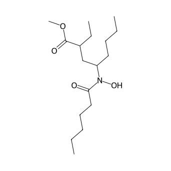 CCCCCC(=O)N(O)C(CCCC)CC(CC)C(=O)OC